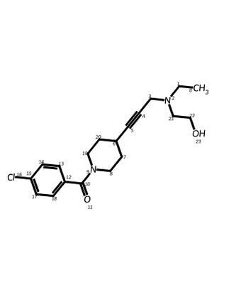 CCN(CC#CC1CCN(C(=O)c2ccc(Cl)cc2)CC1)CCO